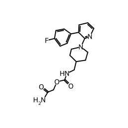 NC(=O)COC(=O)NCC1CCN(c2ncccc2-c2ccc(F)cc2)CC1